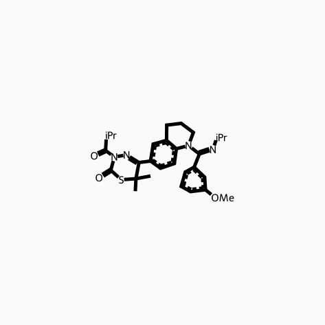 COc1cccc(/C(=N/C(C)C)N2CCCc3cc(C4=NN(C(=O)C(C)C)C(=O)SC4(C)C)ccc32)c1